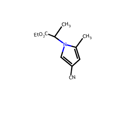 CCOC(=O)C(C)n1cc(C#N)cc1C